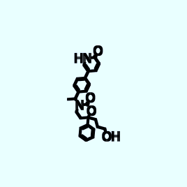 CC(c1ccc(-c2ccc(=O)[nH]c2)cc1)N1CCC(CCCO)(c2ccccc2)OC1=O